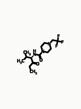 CCC(=O)[C@@H](NC(=O)N1CCN(CC(F)(F)F)CC1)C(C)C